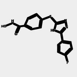 O=C(NO)c1ccc(Sc2nnc(-c3ccc(F)cc3)[nH]2)cc1